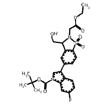 CCOC(=O)CN1C(CO)c2cc(-c3cn(C(=O)OC(C)(C)C)c4cc(F)ccc34)ccc2S1(=O)=O